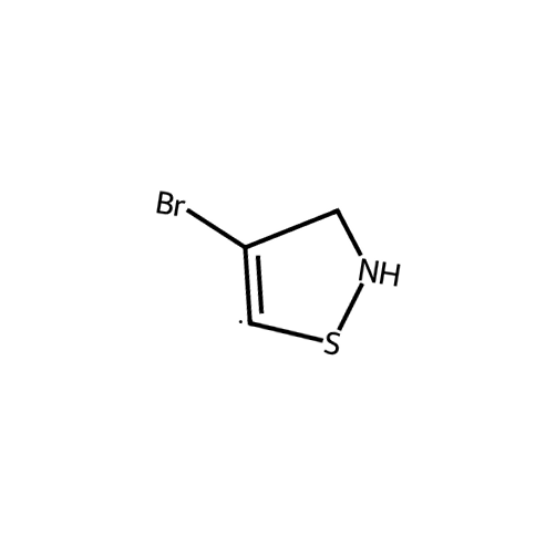 BrC1=[C]SNC1